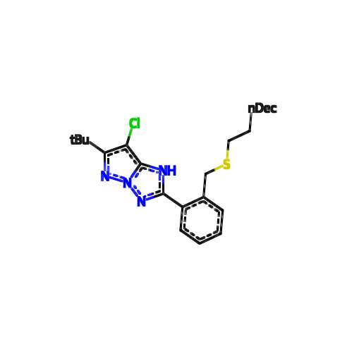 CCCCCCCCCCCCSCc1ccccc1-c1nn2nc(C(C)(C)C)c(Cl)c2[nH]1